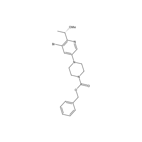 CO[C@@H](C)c1ncc(N2CCN(C(=O)OCc3ccccc3)CC2)cc1Br